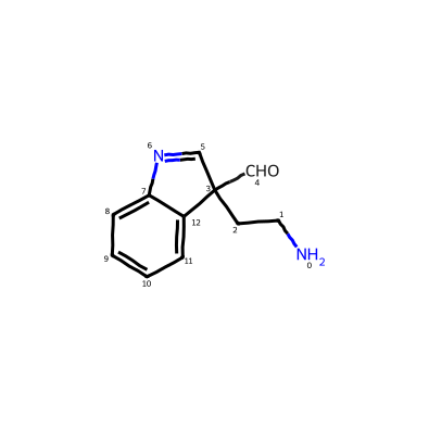 NCCC1(C=O)C=Nc2ccccc21